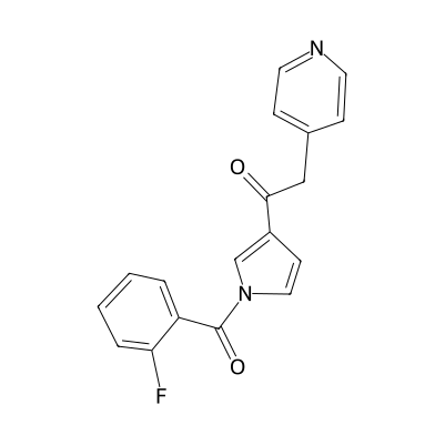 O=C(Cc1ccncc1)c1ccn(C(=O)c2ccccc2F)c1